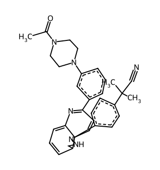 CC(=O)N1CCN(c2cccc(C3=NC4=CC=CC5CNN(c6ccc(C(C)(C)C#N)cc6)C45C=C3)c2)CC1